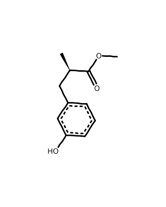 COC(=O)[C@H](C)Cc1cccc(O)c1